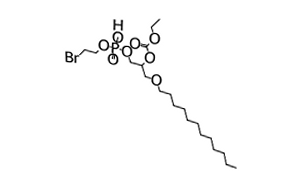 CCCCCCCCCCCCOCC(COP(=O)(O)OCCBr)OC(=O)OCC